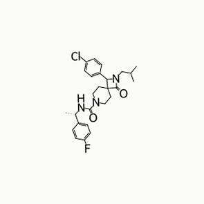 CC(C)CN1C(=O)C2(CCN(C(=O)N[C@@H](C)c3ccc(F)cc3)CC2)C1c1ccc(Cl)cc1